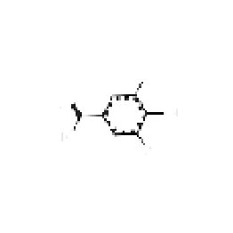 C=C(O)c1cc(C)c(O)c(C)c1